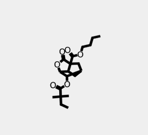 CCCCOC(=O)C12CC3CC1C(OC2=O)C3OC(=O)C(C)(C)CC